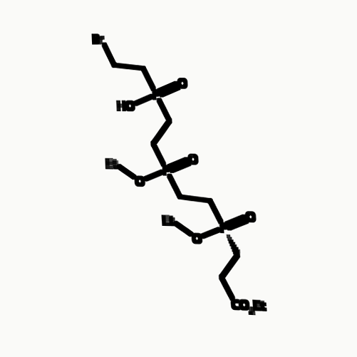 CCOC(=O)CC[P@@](=O)(CCP(=O)(CCP(=O)(O)CCBr)OCC)OCC